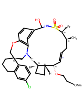 COCCO[C@H]1/C=C/C[C@H](C)[C@H](C(C)C)S(=O)(=O)NC(O)c2ccc3c(c2)N(C[C@@H]2CC[C@H]21)C[C@@]1(CCCc2cc(Cl)ccc21)CO3